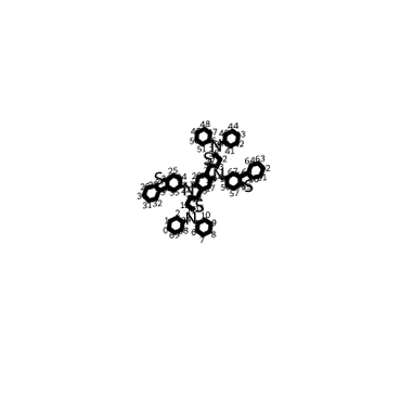 c1ccc(N(c2ccccc2)c2cc3c(s2)c2cc4c(cc2n3-c2ccc3sc5ccccc5c3c2)c2sc(N(c3ccccc3)c3ccccc3)cc2n4-c2ccc3sc4ccccc4c3c2)cc1